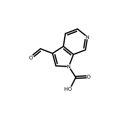 O=Cc1cn(C(=O)O)c2cnccc12